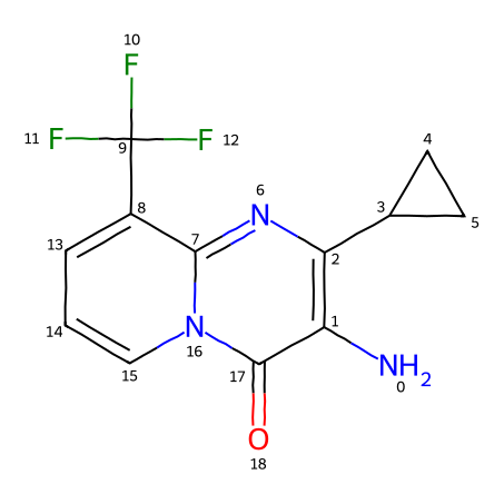 Nc1c(C2CC2)nc2c(C(F)(F)F)cccn2c1=O